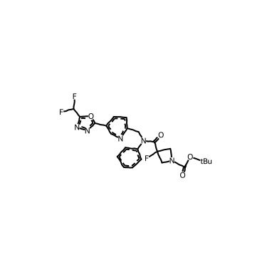 CC(C)(C)OC(=O)N1CC(F)(C(=O)N(Cc2ccc(-c3nnc(C(F)F)o3)cn2)c2ccccc2)C1